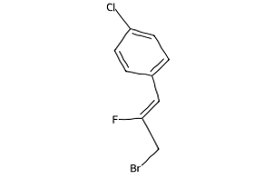 FC(=Cc1ccc(Cl)cc1)CBr